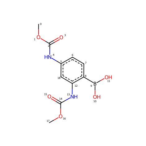 COC(=O)Nc1ccc(B(O)O)c(NC(=O)OC)c1